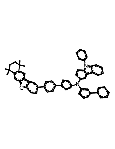 CC1(C)CCC(C)(C)c2cc3c(cc21)oc1ccc(-c2ccc(-c4ccc(N(c5cccc(-c6ccccc6)c5)c5ccc6c(c5)c5ccccc5n6-c5ccccc5)cc4)cc2)cc13